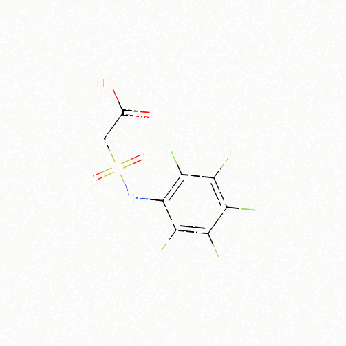 O=C(O)CS(=O)(=O)Nc1c(F)c(F)c(F)c(F)c1F